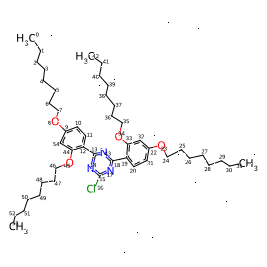 CCCCCCCCOc1ccc(-c2nc(Cl)nc(-c3ccc(OCCCCCCCC)cc3OCCCCCCCC)n2)c(OCCCCCCCC)c1